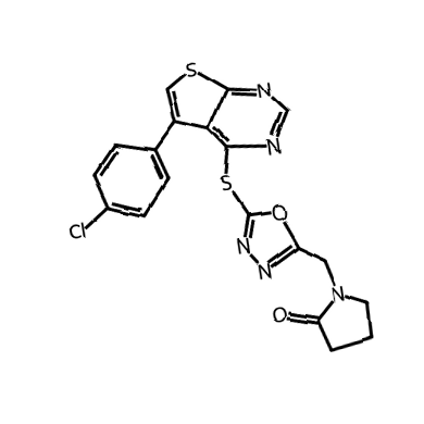 O=C1CCCN1Cc1nnc(Sc2ncnc3scc(-c4ccc(Cl)cc4)c23)o1